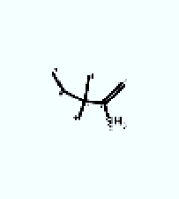 C=C([SiH3])C(C)(C)CC